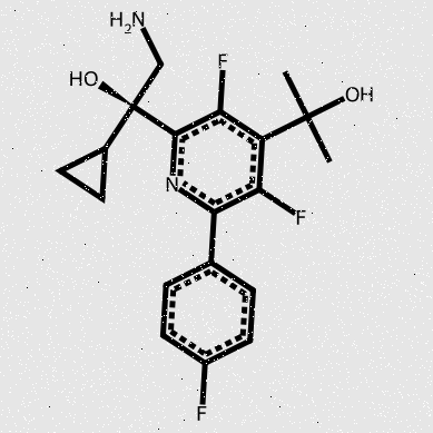 CC(C)(O)c1c(F)c(-c2ccc(F)cc2)nc([C@@](O)(CN)C2CC2)c1F